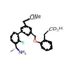 COCc1cc(COc2ccccc2CC(=O)O)cc(-c2cccc([C@@H](C)N)c2F)c1